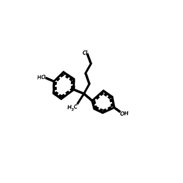 CC(CCCCl)(c1ccc(O)cc1)c1ccc(O)cc1